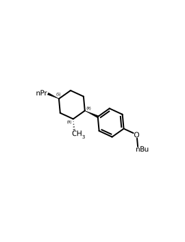 CCCCOc1ccc([C@@H]2CC[C@H](CCC)C[C@H]2C)cc1